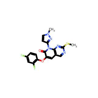 CSc1ncc2cc(Oc3ccc(F)cc3F)c(=O)n(-c3ccn(C)n3)c2n1